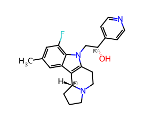 Cc1cc(F)c2c(c1)c1c(n2C[C@@H](O)c2ccncc2)CCN2CCC[C@H]12